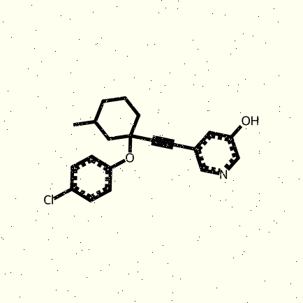 CC1CCCC(C#Cc2cncc(O)c2)(Oc2ccc(Cl)cc2)C1